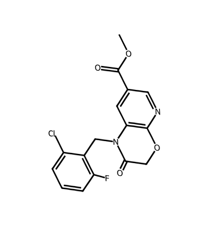 COC(=O)c1cnc2c(c1)N(Cc1c(F)cccc1Cl)C(=O)CO2